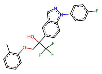 Cc1ccccc1OCC(O)(c1ccc2c(cnn2-c2ccc(F)cc2)c1)C(F)(F)F